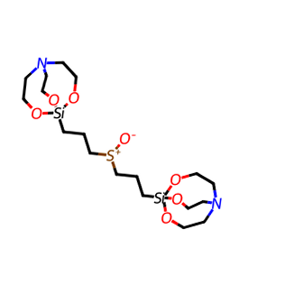 [O-][S+](CCC[Si]12OCCN(CCO1)CCO2)CCC[Si]12OCCN(CCO1)CCO2